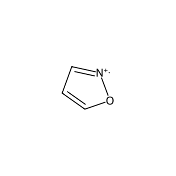 C1=CO[N+]=C1